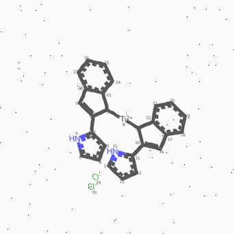 C1=C(c2ccc[nH]2)[CH]([Ti+2][CH]2C(c3ccc[nH]3)=Cc3ccccc32)c2ccccc21.[Cl-].[Cl-]